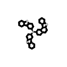 c1ccc2c(c1)oc1ccc(N(c3ccc4sc5ccccc5c4c3)c3ccc4ccc5oc6ccccc6c5c4c3)cc12